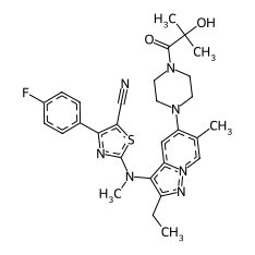 CCc1nn2cc(C)c(N3CCN(C(=O)C(C)(C)O)CC3)cc2c1N(C)c1nc(-c2ccc(F)cc2)c(C#N)s1